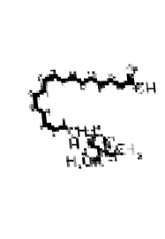 CC/C=C\C/C=C\C/C=C\CCCCCCCC(=O)O.CC[N+](CC)(CC)CC